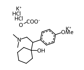 COc1ccc(C(CN(C)C)C2(O)CCCCC2)cc1.Cl.Cl.O=C([O-])[O-].[K+].[K+]